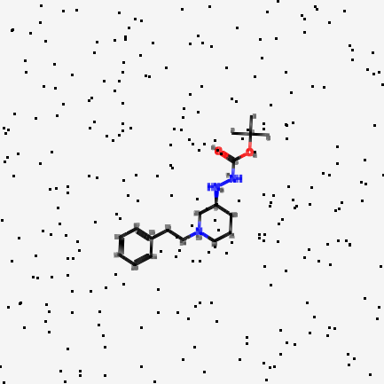 CC(C)(C)OC(=O)NN[C@H]1CCCN(CCc2ccccc2)C1